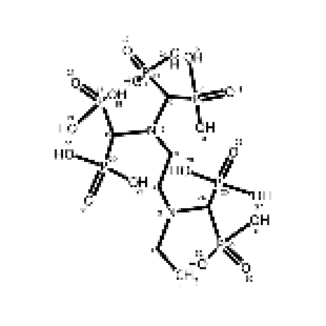 CCN(CCN(C(P(=O)(O)O)P(=O)(O)O)C(P(=O)(O)O)P(=O)(O)O)C(P(=O)(O)O)P(=O)(O)O